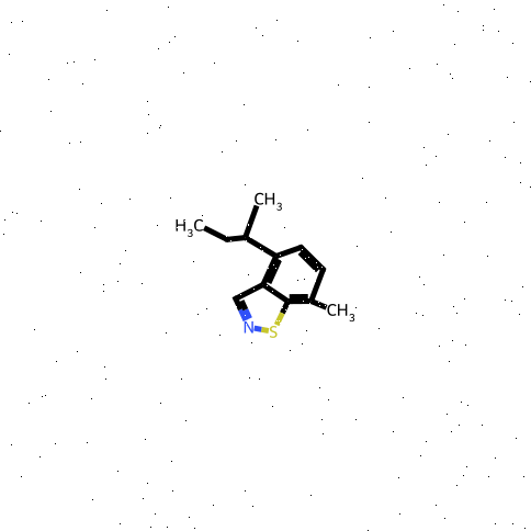 CCC(C)c1ccc(C)c2sncc12